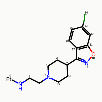 CCNCCN1CCC(c2noc3cc(F)ccc23)CC1